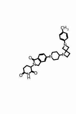 Cc1ccc(N2CC3(CCN3C3CCN(c4ccc5c(c4)CN(C4CCC(=O)NC4=O)C5=O)CC3)C2)cc1